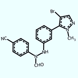 Cn1ncc(Br)c1-c1cccc(NN(C=O)c2ccc(C#N)cc2)c1